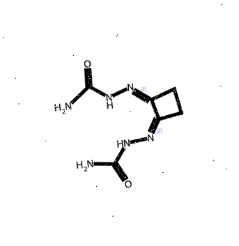 NC(=O)N/N=C1/CC/C1=N/NC(N)=O